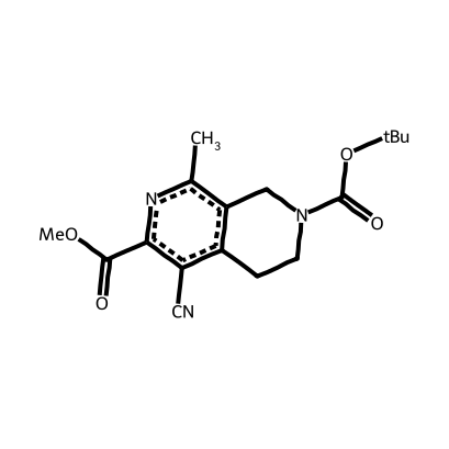 COC(=O)c1nc(C)c2c(c1C#N)CCN(C(=O)OC(C)(C)C)C2